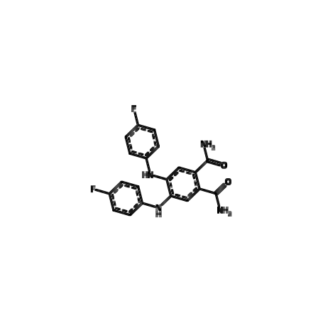 NC(=O)c1cc(Nc2ccc(F)cc2)c(Nc2ccc(F)cc2)cc1C(N)=O